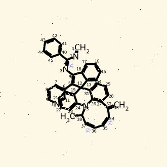 C=N/C(=N\C1=C(c2cccnc2)C2(c3ccccc31)c1ccccc1N1c3c(cccc32)C(=C)/C=C\C=C/C1C)c1ccccc1